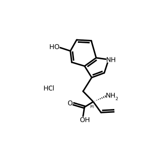 C=C[C@](N)(Cc1c[nH]c2ccc(O)cc12)C(=O)O.Cl